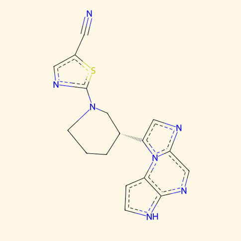 N#Cc1cnc(N2CCC[C@@H](c3cnc4cnc5[nH]ccc5n34)C2)s1